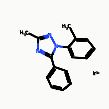 Cc1nc(-c2ccccc2)n(-c2ccccc2C)n1.[Ir+3]